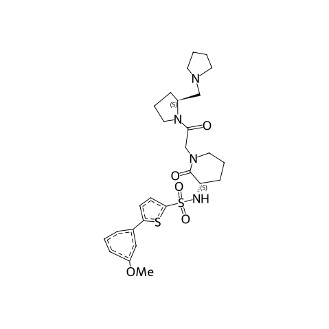 COc1cccc(-c2ccc(S(=O)(=O)N[C@H]3CCCN(CC(=O)N4CCC[C@H]4CN4CCCC4)C3=O)s2)c1